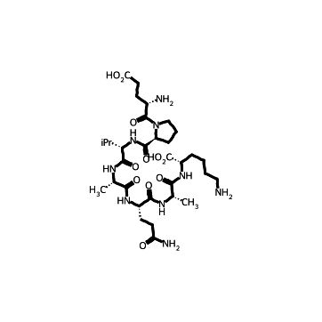 CC(C)[C@H](NC(=O)[C@@H]1CCCN1C(=O)[C@@H](N)CCC(=O)O)C(=O)N[C@@H](C)C(=O)N[C@@H](CCC(N)=O)C(=O)N[C@@H](C)C(=O)N[C@@H](CCCCN)C(=O)O